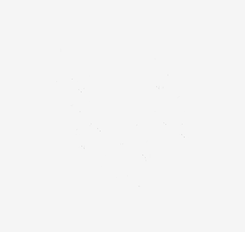 CCCS(=O)(=O)N1CC(c2nc(-c3ccc(C)c(NC(=O)c4cnc5ccc(NCC)cn45)c3)no2)C1